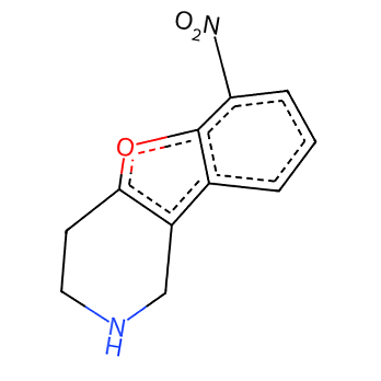 O=[N+]([O-])c1cccc2c3c(oc12)CCNC3